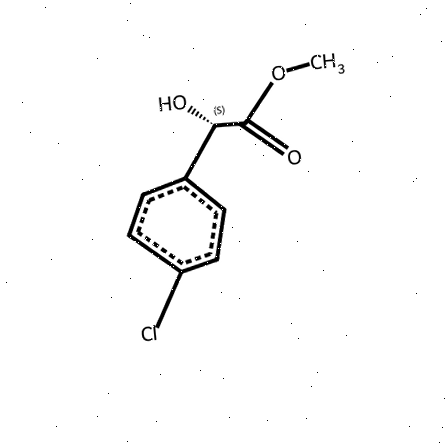 COC(=O)[C@@H](O)c1ccc(Cl)cc1